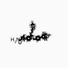 Cc1cc(C(N)=O)nn1-c1ccc2c(c1)c(/C=C/CO[Si](C)(C)C(C)(C)C)cn2Cc1ccc(C2C[C@@H]3CN(C)C[C@@H]3C2)cc1